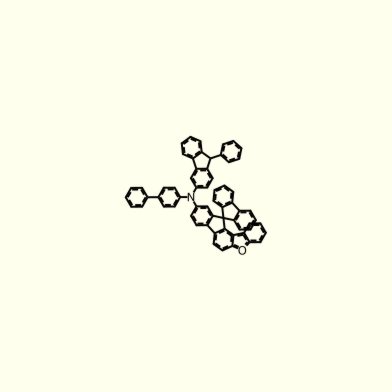 c1ccc(-c2ccc(N(c3ccc4c(c3)-c3ccccc3C4c3ccccc3)c3ccc4c(c3)C3(c5ccccc5-c5ccccc53)c3c-4ccc4oc5ccccc5c34)cc2)cc1